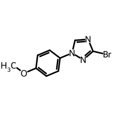 COc1ccc(-n2cnc(Br)n2)cc1